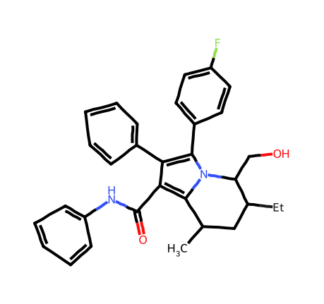 CCC1CC(C)c2c(C(=O)Nc3ccccc3)c(-c3ccccc3)c(-c3ccc(F)cc3)n2C1CO